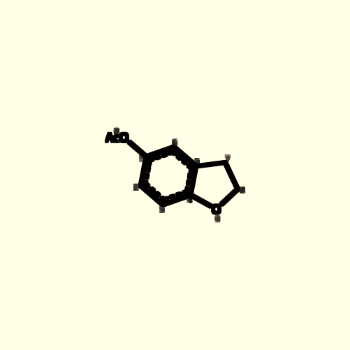 CC(=O)Oc1ccc2c(c1)CCO2